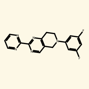 Fc1cc(F)cc(N2CCc3nc(-c4ncccn4)ncc3C2)c1